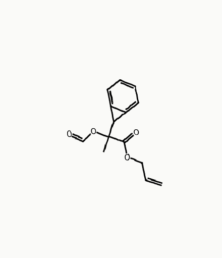 C=CCOC(=O)C(C)(OC=O)[C]1c2ccccc21